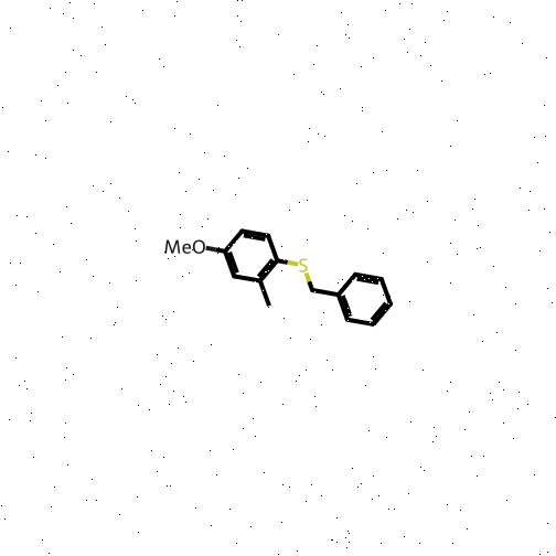 COc1ccc(SCc2ccccc2)c(C)c1